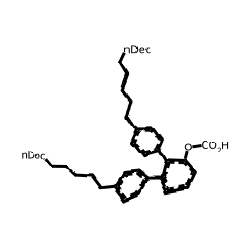 CCCCCCCCCCCCCCCc1ccc(-c2cccc(OC(=O)O)c2-c2ccc(CCCCCCCCCCCCCCC)cc2)cc1